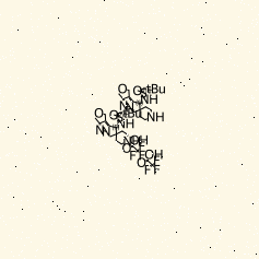 CC(C)(C)[S@+]([O-])N[C@@H]1c2c3c(nn2CC12CCNCC2)COC3.CC(C)(C)[S@+]([O-])N[C@@H]1c2c3c(nn2CC12CCNCC2)COC3.O=C(O)C(F)(F)F.O=C(O)C(F)(F)F